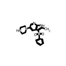 Cc1[nH]c2ncc(N3CCNCC3)cc2c1S(=O)(=O)c1ccccc1